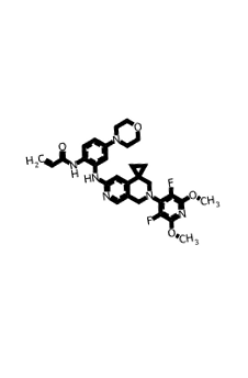 C=CC(=O)Nc1ccc(N2CCOCC2)cc1Nc1cc2c(cn1)CN(c1c(F)c(OC)nc(OC)c1F)CC21CC1